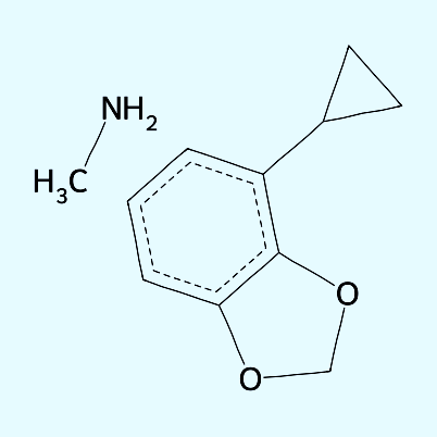 CN.c1cc2c(c(C3CC3)c1)OCO2